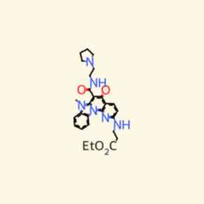 CCOC(=O)CCNc1ccc2c(=O)c(C(=O)NCCN3CCCC3)c3n(C)c4ccccc4n3c2n1